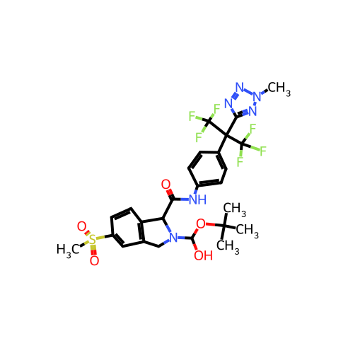 Cn1nnc(C(c2ccc(NC(=O)C3c4ccc(S(C)(=O)=O)cc4CN3C(O)OC(C)(C)C)cc2)(C(F)(F)F)C(F)(F)F)n1